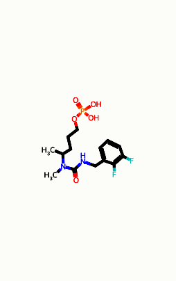 CC(CCCOP(=O)(O)O)N(C)C(=O)NCc1cccc(F)c1F